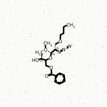 CCCCOC[C@H](N=[N+]=[N-])[C@@H](OC)OC(COC(=O)c1ccccc1)[C@H](C)O